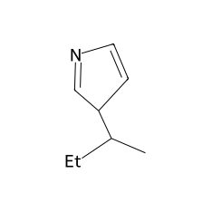 CCC(C)C1C=CN=C1